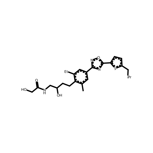 CCc1cc(-c2noc(-c3ccc(CC(C)C)s3)n2)cc(C)c1CCC(O)CNC(=O)CO